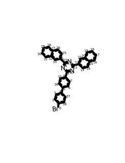 Brc1ccc(-c2ccc(-c3nc(-c4ccc5ccccc5c4)nc(-c4ccc5ccccc5c4)n3)cc2)cc1